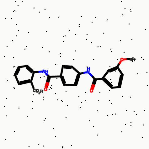 CCCOc1cccc(C(=O)Nc2ccc(C(=O)Nc3ccccc3C(=O)O)cc2)c1